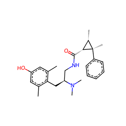 Cc1cc(O)cc(C)c1C[C@@H](CNC(=O)[C@@H]1[C@H](C)[C@@]1(C)c1ccccc1)N(C)C